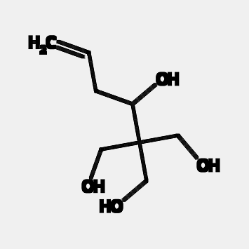 C=CCC(O)C(CO)(CO)CO